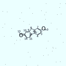 COc1ccc2c(c1)Cc1cc(OC)ccc1-2